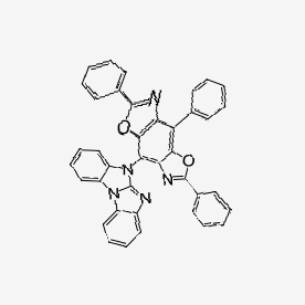 c1ccc(-c2nc3c(-n4c5ccccc5n5c6ccccc6nc45)c4oc(-c5ccccc5)nc4c(-c4ccccc4)c3o2)cc1